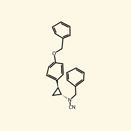 N#CN(Cc1ccccc1)[C@@H]1C[C@H]1c1ccc(OCc2ccccc2)cc1